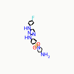 NC1CCN(S(=O)(=O)c2ccc(Nc3nccc(Nc4ccc(F)cc4)n3)cc2)CC1